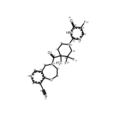 CC1(C(=O)N2CCOc3c(C#N)cncc3C2)CCN(c2ncc(F)c(=O)[nH]2)CC1(F)F